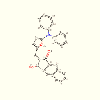 O=C1/C(=C\c2ccc(N(c3ccccc3)c3ccccc3)o2)C(O)c2cc3ccccc3cc21